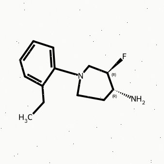 CCc1ccccc1N1CC[C@@H](N)[C@H](F)C1